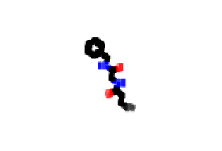 CC(C)CCC(=O)NCC(=O)NCc1ccccc1